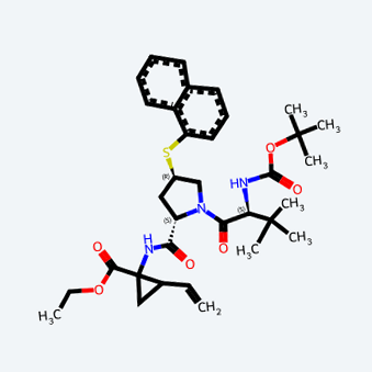 C=CC1CC1(NC(=O)[C@@H]1C[C@@H](Sc2cccc3ccccc23)CN1C(=O)[C@@H](NC(=O)OC(C)(C)C)C(C)(C)C)C(=O)OCC